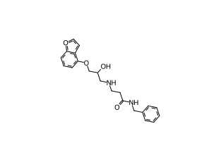 O=C(CCNCC(O)COc1cccc2occc12)NCc1ccccc1